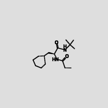 CCC(=O)N[C@@H](CC1CCCCC1)C(=O)NC(C)(C)C